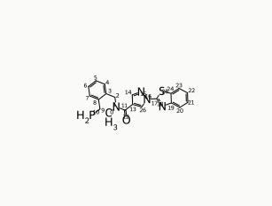 CN(Cc1ccccc1CP)C(=O)c1cnn(-c2nc3ccccc3s2)c1